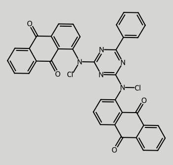 O=C1c2ccccc2C(=O)c2c1cccc2N(Cl)c1nc(-c2ccccc2)nc(N(Cl)c2cccc3c2C(=O)c2ccccc2C3=O)n1